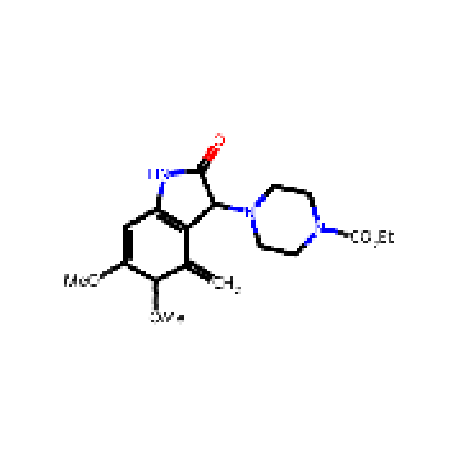 C=C1C2=C(C=C(OC)C1OC)NC(=O)C2N1CCN(C(=O)OCC)CC1